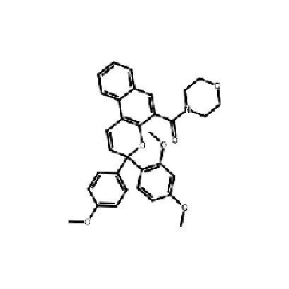 COc1ccc(C2(c3ccc(OC)cc3OC)C=Cc3c(c(C(=O)N4CCOCC4)cc4ccccc34)O2)cc1